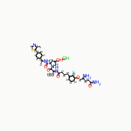 Cc1ncsc1-c1ccc([C@H](C)NC(=O)[C@@H]2C[C@@H](O)CN2C(=O)[C@@H](NC(=O)CCCc2cccc(OC[C@@H](N)CCC(N)=O)c2F)C(C)(C)C)cc1.Cl